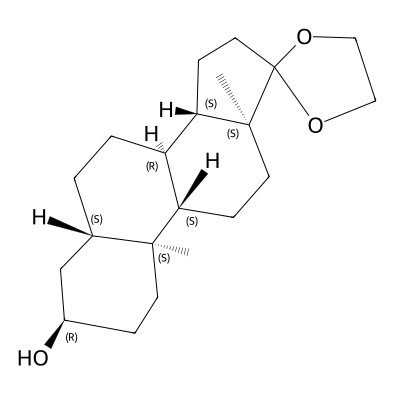 C[C@]12CC[C@@H](O)C[C@@H]1CC[C@@H]1[C@@H]2CC[C@@]2(C)[C@H]1CCC21OCCO1